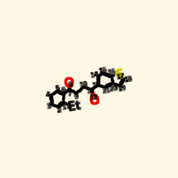 CCc1ccccc1C(=O)CCC(=O)c1ccc2sccc2c1